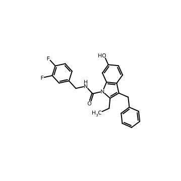 CCc1c(Cc2ccccc2)c2ccc(O)cc2n1C(=O)NCc1ccc(F)c(F)c1